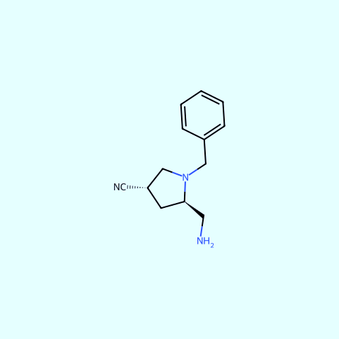 N#C[C@H]1C[C@H](CN)N(Cc2ccccc2)C1